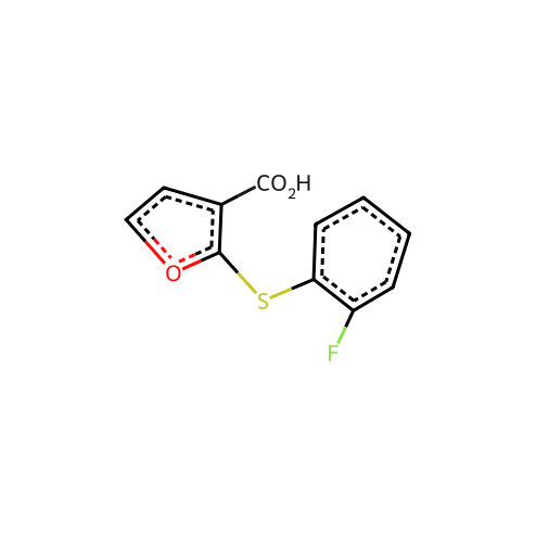 O=C(O)c1ccoc1Sc1ccccc1F